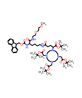 COCCOCCNC(=O)C(CCCCNC(=O)CCC(C(=O)OC(C)(C)C)N1CCN(CC(=O)OC(C)(C)C)CCN(CC(=O)OC(C)(C)C)CCN(CC(=O)OC(C)(C)C)CC1)NC(=O)OCC1c2ccccc2-c2ccccc21